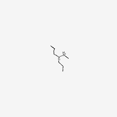 CCC[SiH](CCC)[SiH2]C